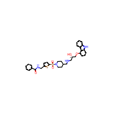 O=C(NCc1ccc(S(=O)(=O)N2CCC(CNC[C@H](O)COc3cccc4[nH]c5ccccc5c34)CC2)s1)c1ccccc1